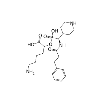 NCCCCC(OP(=O)(O)[C@H](NC(=O)CCc1ccccc1)C1CCNCC1)C(=O)O